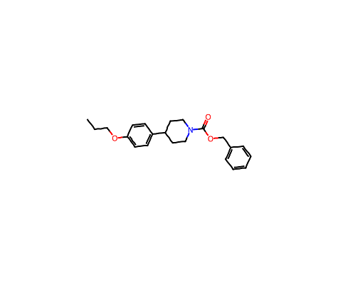 CCCOc1ccc(C2CCN(C(=O)OCc3ccccc3)CC2)cc1